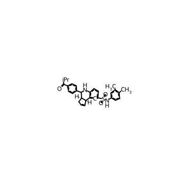 Cc1ccc(NS(=O)(=O)c2ccc3c(c2)[C@H]2C=CC[C@H]2C(c2ccc(C(=O)C(C)C)cc2)N3)cc1C